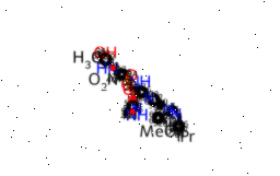 COc1cc(CN2CCN(C3CC4(CCN(c5ccc(C(=O)NS(=O)(=O)c6ccc(NC[C@H]7CC[C@](C)(O)CC7)c([N+](=O)[O-])c6)c(Oc6cnc7[nH]ccc7c6)c5)CC4)C3)[C@H](c3ccccc3C(C)C)C2)ccc1C(C)C